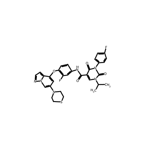 CC(C)n1cc(C(=O)Nc2ccc(Oc3cc(N4CCSCC4)cn4nccc34)c(F)c2)c(=O)n(-c2ccc(F)cc2)c1=O